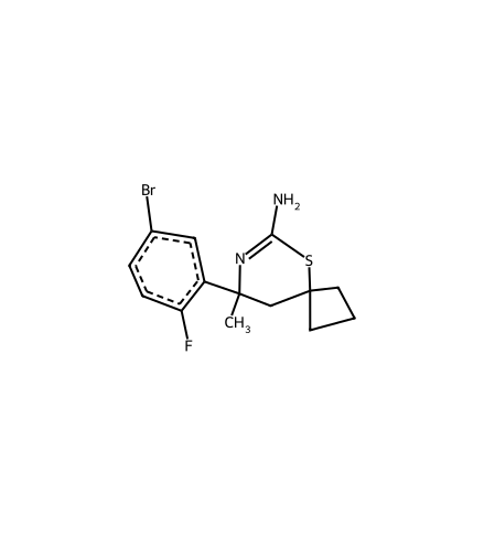 CC1(c2cc(Br)ccc2F)CC2(CCC2)SC(N)=N1